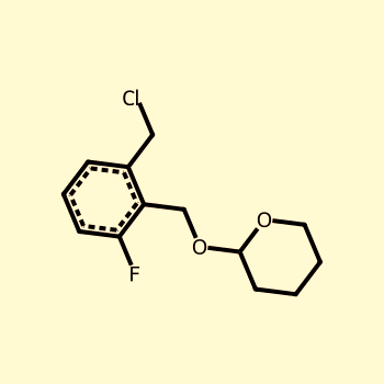 Fc1cccc(CCl)c1COC1CCCCO1